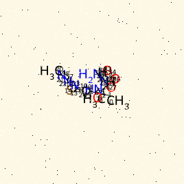 CC[C@H](C)[C@H](NC(=O)c1ccc(-c2csc(N3CCN(C)CC3)n2)cc1)C(=O)N1C[C@@H](N)[C@H]2OCC(=O)[C@H]21